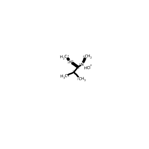 C=NC(=[N+]=C)C(C)C.Cl